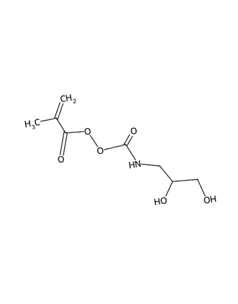 C=C(C)C(=O)OOC(=O)NCC(O)CO